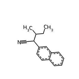 CCC(C)C(C#N)c1ccc2ccccc2c1